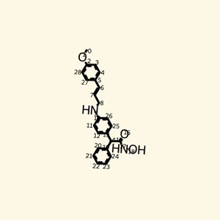 COc1ccc(C=CCNc2ccc(C(C(=O)NO)c3ccccc3)cc2)cc1